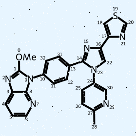 COc1nc2cccnc2n1-c1ccc(-c2nc(-c3cscn3)cn2-c2ccc(C)nc2)cc1